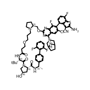 C[C@H](NC(=O)[C@@H]1C[C@@H](O)CN1C(=O)[C@@H](NC(=O)CCOCCCN1CCC[C@H]1COc1nc(N2CC3CCC(C2)N3)c2cc(Cl)c(-c3ccc(F)c4sc(N)c(C#N)c34)c(F)c2n1)C(C)(C)C)c1ccc(-c2c(F)cccc2F)cc1